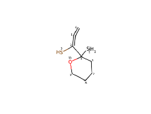 C=C=C(S)C1([SiH3])CCCCO1